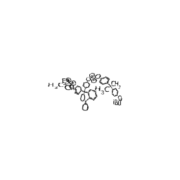 CCC(C)Oc1ccc(C(C)(C)c2ccc(OS(=O)(=O)Oc3ccc(C4(c5ccc(OS(=O)(=O)C(C)(C)CC)cc5)OC(=O)c5ccccc54)cc3)cc2)cc1